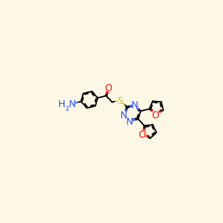 Nc1ccc(C(=O)CSc2nnc(-c3ccco3)c(-c3ccco3)n2)cc1